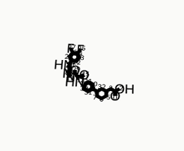 O=C(O)CC1CCCC(c2ccc(NC(=O)c3nnc(Nc4ccc(F)c(F)c4)o3)cc2)C1